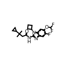 CC(C)(CC(=O)Nc1nc2cc(F)c(OC(F)F)cc2n1C1CCC1)C1CC1